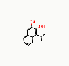 CC(C)c1c(O)c(O)cc2ccccc12